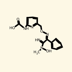 CN(O)C(=N)C(=NOCc1cccc(NC(=O)O)n1)c1ccccc1